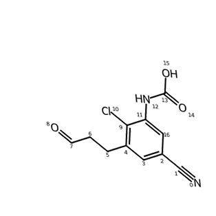 N#Cc1cc(CCC=O)c(Cl)c(NC(=O)O)c1